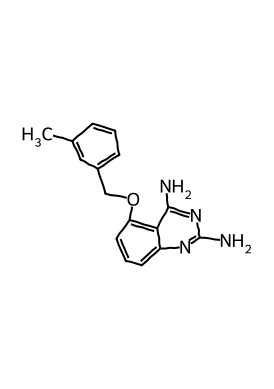 Cc1cccc(COc2cccc3nc(N)nc(N)c23)c1